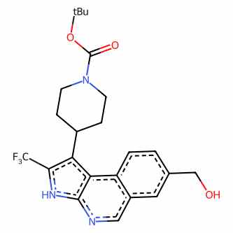 CC(C)(C)OC(=O)N1CCC(c2c(C(F)(F)F)[nH]c3ncc4cc(CO)ccc4c23)CC1